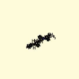 CN(C)c1ccc(/N=N/c2ccc(NNc3ccc(NNc4ccc(C(F)(F)F)cc4)c4ccccc34)c3ccccc23)c2ccccc12